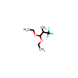 CCOC(OCC)C(C)C(F)(F)F